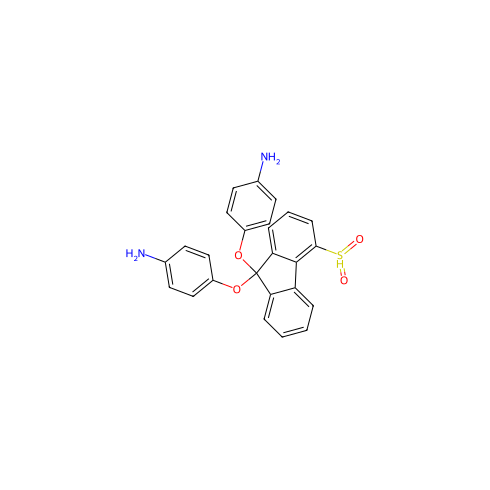 Nc1ccc(OC2(Oc3ccc(N)cc3)c3ccccc3-c3c([SH](=O)=O)cccc32)cc1